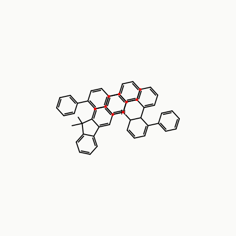 CC1(C)c2ccccc2-c2cc(N(c3ccccc3-c3ccc(-c4ccccc4)cc3)C3C=CC=C(c4ccccc4)C3c3ccccc3-c3ccccc3)ccc21